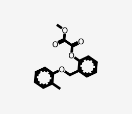 COC(=O)C(=O)Oc1ccccc1COc1ccccc1C